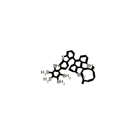 Bc1c(B)c(B)c(-c2ccc3c(c2)sc2cccc(-c4c5cccc(B)c5c(-c5ccc(=C)ccccc(=C)c5)c5c(B)cccc45)c23)c(B)c1B